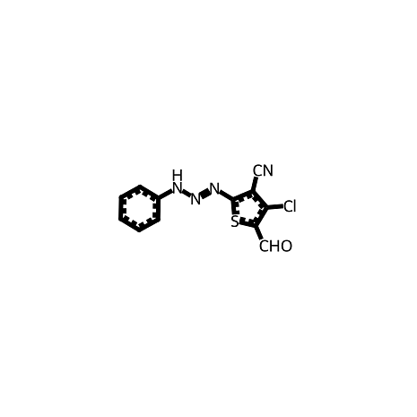 N#Cc1c(N=NNc2ccccc2)sc(C=O)c1Cl